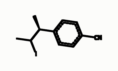 CC(I)[C@@H](C)c1ccc(C#N)cc1